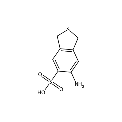 Nc1cc2c(cc1S(=O)(=O)O)CSC2